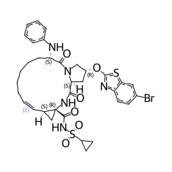 O=C1N[C@]2(C(=O)NS(=O)(=O)C3CC3)C[C@H]2/C=C\CCCCC[C@H](Nc2ccccc2)C(=O)N2C[C@H](Oc3nc4ccc(Br)cc4s3)C[C@@H]12